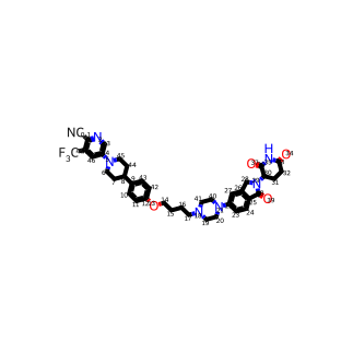 N#Cc1ncc(N2CCC(c3ccc(OCCCCN4CCN(c5ccc6c(c5)CN(C5CCC(=O)NC5=O)C6=O)CC4)cc3)CC2)cc1C(F)(F)F